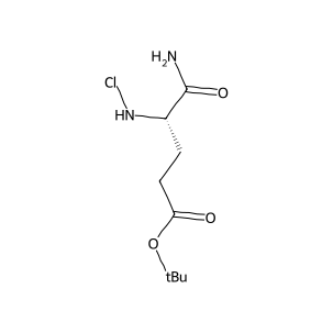 CC(C)(C)OC(=O)CC[C@H](NCl)C(N)=O